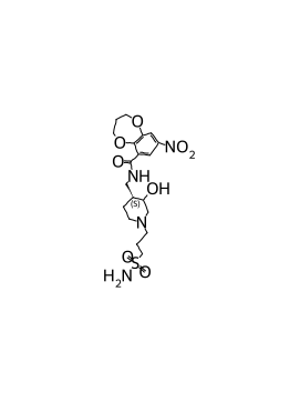 NS(=O)(=O)CCCN1CC[C@@H](CNC(=O)c2cc([N+](=O)[O-])cc3c2OCCCO3)C(O)C1